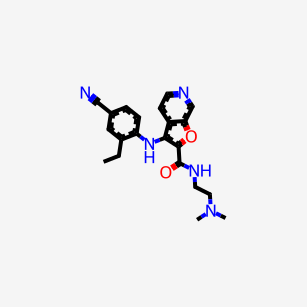 CCc1cc(C#N)ccc1Nc1c(C(=O)NCCN(C)C)oc2cnccc12